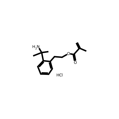 C=C(C)C(=O)OCCc1ccccc1C(C)(C)N.Cl